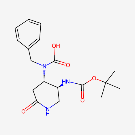 CC(C)(C)OC(=O)N[C@H]1CNC(=O)C[C@@H]1N(Cc1ccccc1)C(=O)O